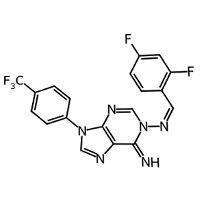 N=c1c2ncn(-c3ccc(C(F)(F)F)cc3)c2ncn1/N=C\c1ccc(F)cc1F